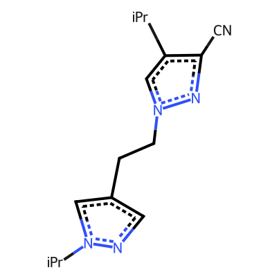 CC(C)c1cn(CCc2cnn(C(C)C)c2)nc1C#N